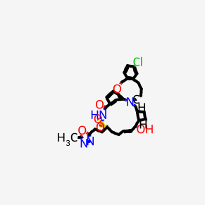 Cc1nnc(CCC2CC/C=C/[C@H](O)[C@@H]3CC[C@H]3CN3CCCCc4cc(Cl)ccc4COc4ccc(cc43)C(=O)NS2(=O)=O)o1